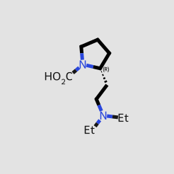 CCN(CC)CC[C@H]1CCCN1C(=O)O